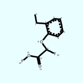 CCc1ccccc1OC(F)C(=O)OF